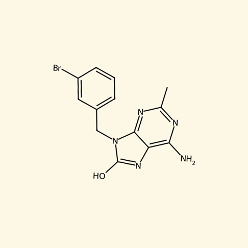 Cc1nc(N)c2nc(O)n(Cc3cccc(Br)c3)c2n1